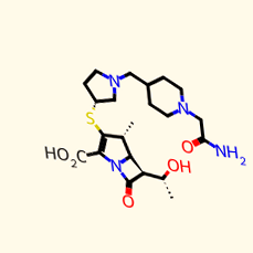 C[C@H]1C(S[C@@H]2CCN(CC3CCN(CC(N)=O)CC3)C2)=C(C(=O)O)N2C(=O)[C@H]([C@@H](C)O)C12